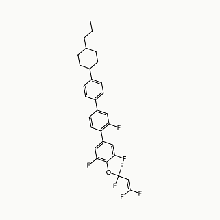 CCCC1CCC(c2ccc(-c3ccc(-c4cc(F)c(OC(F)(F)C=C(F)F)c(F)c4)c(F)c3)cc2)CC1